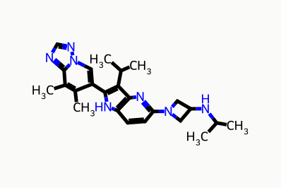 Cc1c(-c2[nH]c3ccc(N4CC(NC(C)C)C4)nc3c2C(C)C)cn2ncnc2c1C